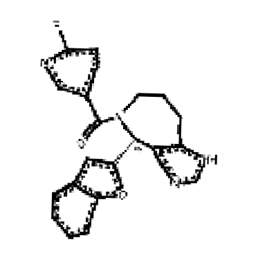 O=C(c1ccc(F)nc1)N1CCCc2[nH]cnc2[C@@H]1c1cc2ccccc2o1